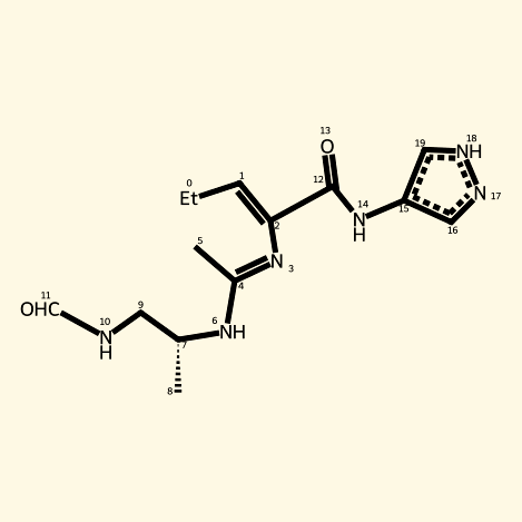 CC/C=C(\N=C(/C)N[C@H](C)CNC=O)C(=O)Nc1cn[nH]c1